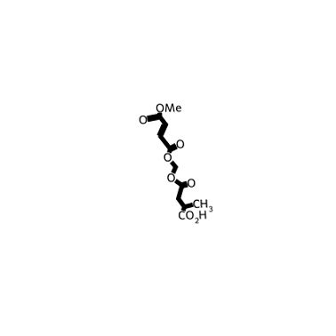 COC(=O)/C=C/C(=O)OCOC(=O)CC(C)C(=O)O